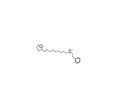 C[S+](CCCCCCCCCC1CCCO1)CCc1ccccc1